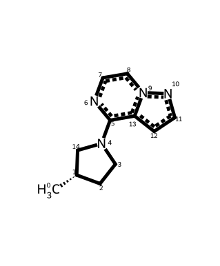 C[C@H]1CCN(c2nccn3nccc23)C1